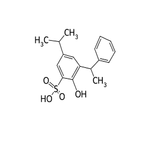 CC(C)c1cc(C(C)c2ccccc2)c(O)c(S(=O)(=O)O)c1